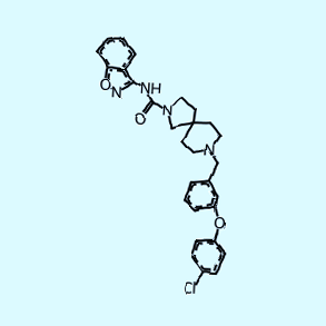 O=C(Nc1noc2ccccc12)N1CCC2(CCN(Cc3cccc(Oc4ccc(Cl)cc4)c3)CC2)C1